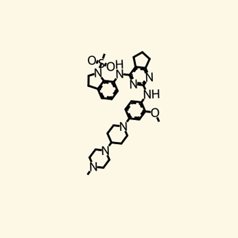 COc1cc(N2CCC(N3CCN(C)CC3)CC2)ccc1Nc1nc2c(c(Nc3cccc4c3N(S(C)(=O)=O)CC4)n1)CCC2